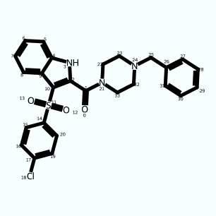 O=C(c1[nH]c2ccccc2c1S(=O)(=O)c1ccc(Cl)cc1)N1CCN(Cc2ccccc2)CC1